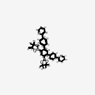 C=C1OB(c2cc(B3OC(C)(C)C(C)(C)O3)c(-c3ccc(-c4ccccn4)cc3)cc2-c2ccc(-c3ccccn3)cc2)OC1(C)C